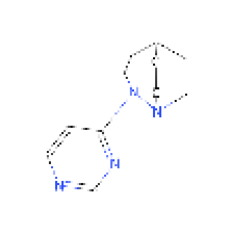 [c]1nccc(N2CCC3CCN2CC3)n1